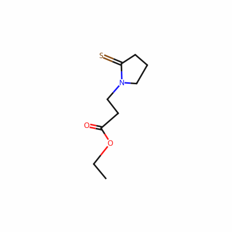 CCOC(=O)CCN1CCCC1=S